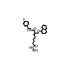 O=C(CCCC/C=C(\COc1cccc2ccccc12)C(=O)NCCc1ccc(F)cc1)NO